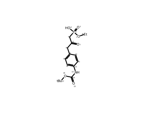 CCOP(=O)(O)CC(=O)Cc1ccc(NC(=O)OC(C)(C)C)cc1